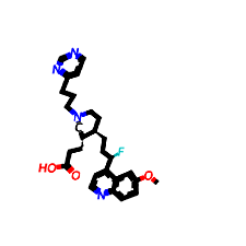 COc1ccc2nccc([C@H](F)CC[C@@H]3CCN(CCCc4ccncn4)C[C@H]3CCC(=O)O)c2c1